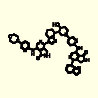 O=C1NCc2c(-c3cnn4c3CCCC4C3CN(c4ccc(Nc5cnc(-c6cccc7ccnn67)c6c5C(=O)NC6)nc4)CCC3O)ncc(Nc3ccc(N4CCOCC4)cn3)c21